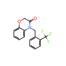 O=C1COc2ccccc2N1Cc1ccccc1C(F)(F)F